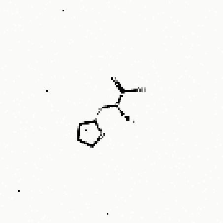 N[C@@H](C[C@H]1CCCO1)C(=O)O